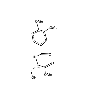 COC(=O)[C@H](CO)NC(=O)c1ccc(OC)c(OC)c1